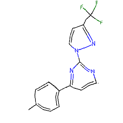 Cc1ccc(-c2c[c]nc(-n3ccc(C(F)(F)F)n3)n2)cc1